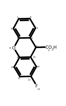 O=C(O)C1c2ccccc2Oc2ccc(F)cc21